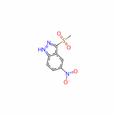 CS(=O)(=O)c1n[nH]c2ccc([N+](=O)[O-])cc12